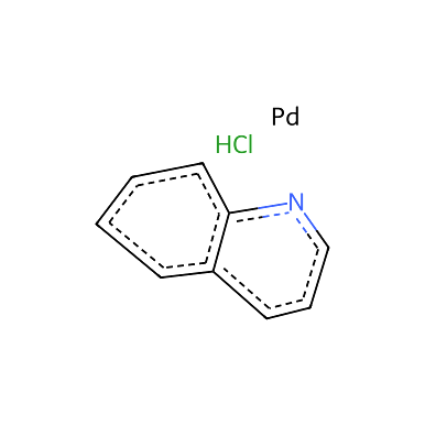 Cl.[Pd].c1ccc2ncccc2c1